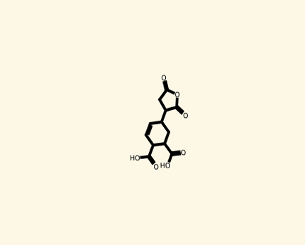 O=C1CC(C2C=CC(C(=O)O)C(C(=O)O)C2)C(=O)O1